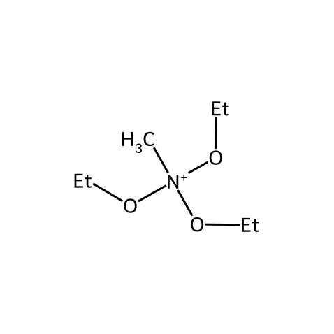 CCO[N+](C)(OCC)OCC